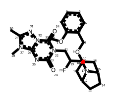 COc1ccccc1COC1CC2CCC(C1)N2CC(F)Cn1c(=O)nc2n(C)c(C)nn2c1=O